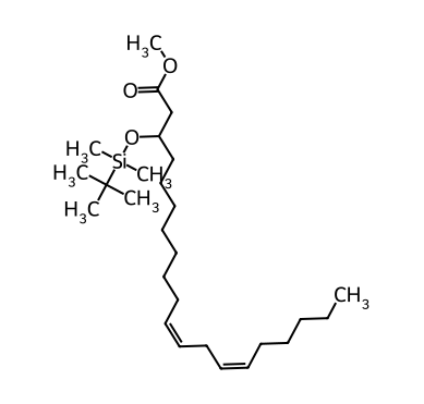 CCCCC/C=C\C/C=C\CCCCCCCC(CC(=O)OC)O[Si](C)(C)C(C)(C)C